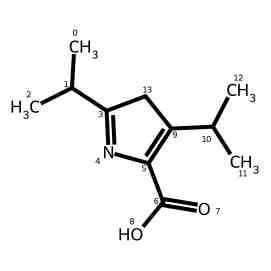 CC(C)C1=NC(C(=O)O)=C(C(C)C)C1